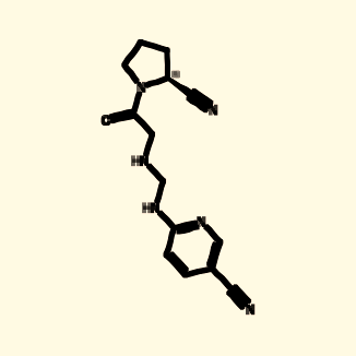 N#Cc1ccc(NCNCC(=O)N2CCC[C@H]2C#N)nc1